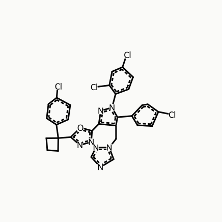 Clc1ccc(-c2c(Cn3cncn3)c(-c3nnc(C4(c5ccc(Cl)cc5)CCC4)o3)nn2-c2ccc(Cl)cc2Cl)cc1